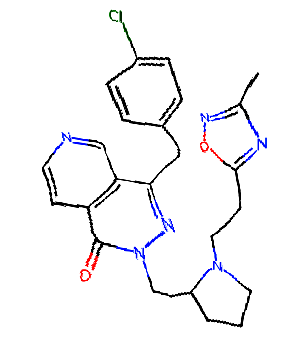 Cc1noc(CCN2CCCC2Cn2nc(Cc3ccc(Cl)cc3)c3cnccc3c2=O)n1